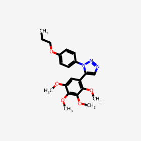 CCCOc1ccc(-n2nncc2-c2cc(OC)c(OC)c(OC)c2OC)cc1